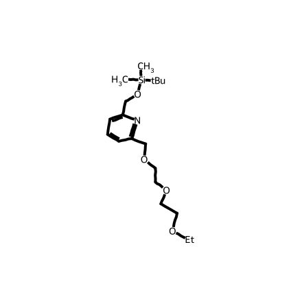 CCOCCOCCOCc1cccc(CO[Si](C)(C)C(C)(C)C)n1